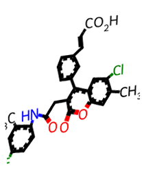 Cc1cc2oc(=O)c(CC(=O)Nc3ccc(F)cc3C(F)(F)F)c(-c3cccc(C=CC(=O)O)c3)c2cc1Cl